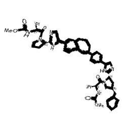 COC(=O)N[C@H](C(=O)N1CCC[C@H]1c1ncc(-c2ccc3c(c2)CC=CC(c2ccc(-c4cnc([C@@H]5C[C@@H](Cc6ccccc6)CN5C(=O)[C@@H](NC(=O)OC)C(C)C)[nH]4)cc2)=C3)[nH]1)C(C)C